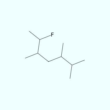 CC(C)C(C)CC(C)C(C)F